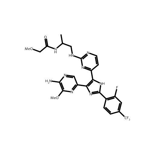 COCC(=O)NC(C)CNc1nccc(-c2[nH]c(-c3ccc(C(F)(F)F)cc3F)nc2-c2cnc(N)c(OC)n2)n1